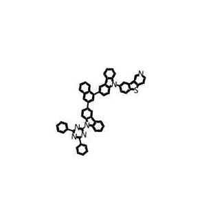 c1ccc(-c2nc(-c3ccccc3)nc(-n3c4ccccc4c4cc(-c5cc(-c6ccc7c(c6)c6ccccc6n7-c6ccc7sc8ccncc8c7c6)c6ccccc6c5)ccc43)n2)cc1